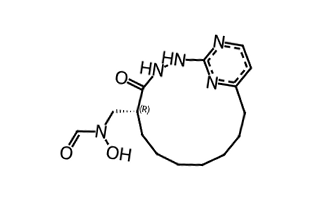 O=CN(O)C[C@H]1CCCCCCCc2ccnc(n2)NNC1=O